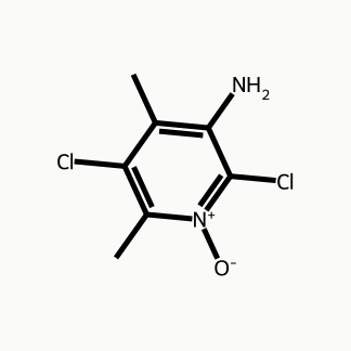 Cc1c(N)c(Cl)[n+]([O-])c(C)c1Cl